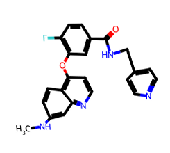 CNc1ccc2c(Oc3cc(C(=O)NCc4ccncc4)ccc3F)ccnc2c1